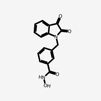 O=C(NO)c1cccc(CN2C(=O)C(=O)c3ccccc32)c1